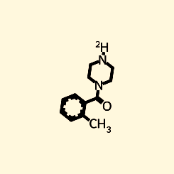 [2H]N1CCN(C(=O)c2ccccc2C)CC1